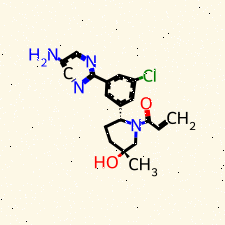 C=CC(=O)N1C[C@](C)(O)CC[C@@H]1c1cc(Cl)cc(-c2ncc(N)cn2)c1